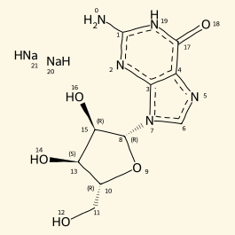 Nc1nc2c(ncn2[C@@H]2O[C@H](CO)[C@@H](O)[C@H]2O)c(=O)[nH]1.[NaH].[NaH]